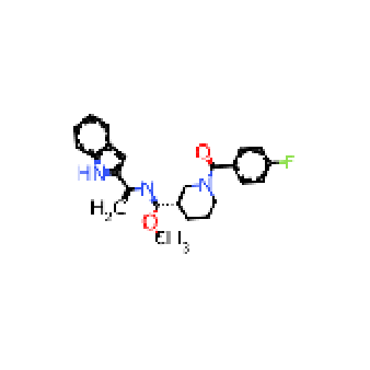 C=C(/N=C(\OC)[C@H]1CCCN(C(=O)c2ccc(F)cc2)C1)c1cc2ccccc2[nH]1